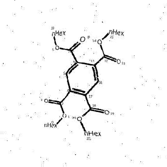 CCCCCCOC(=O)c1cc(C(=O)OCCCCCC)c(C(=O)OCCCCCC)cc1C(=O)OCCCCCC